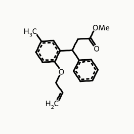 C=CCOc1ccc(C)cc1C(CC(=O)OC)c1ccccc1